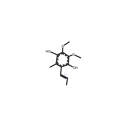 C/C=C/c1c(C)c(O)c(OC)c(OC)c1O